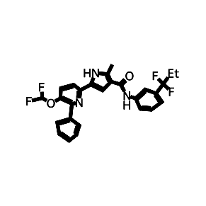 CCC(F)(F)c1cccc(NC(=O)c2cc(-c3ccc(OC(F)F)c(-c4ccccc4)n3)[nH]c2C)c1